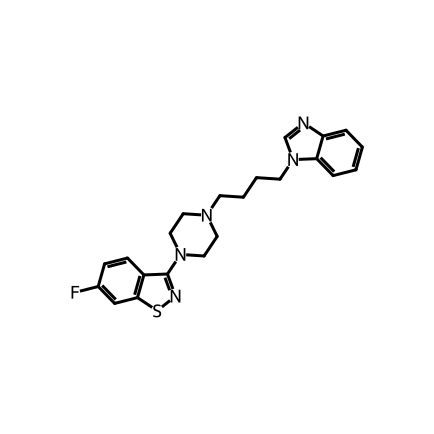 Fc1ccc2c(N3CCN(CCCCn4cnc5ccccc54)CC3)nsc2c1